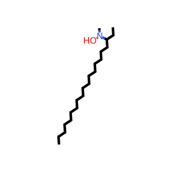 CCCCCCCCCCCCCCCCCC(CC)N(C)O